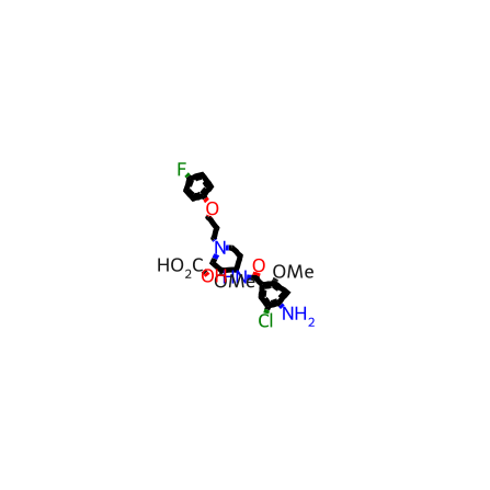 COc1cc(N)c(Cl)cc1C(=O)N[C@H]1CCN(CCCOc2ccc(F)cc2)C[C@@H]1OC.O=C(O)O